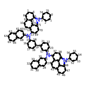 c1ccc(-n2c3cccc4ccc5c(N(c6cccc(-c7cccc(N(c8ccc9ccccc9c8)c8ccc9c%10c8ccc8cccc(c8%10)n9-c8ccccc8)c7)c6)c6ccc7ccccc7c6)ccc2c5c43)cc1